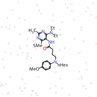 CCCCCCN(CCCC(=O)Nc1c(SC)nc(C)nc1N(CC)CC)c1ccc(OC)cc1